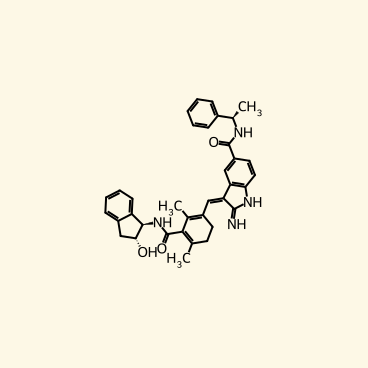 CC1=C(C(=O)N[C@@H]2c3ccccc3C[C@H]2O)C(C)=C(/C=C2\C(=N)Nc3ccc(C(=O)N[C@H](C)c4ccccc4)cc32)CC1